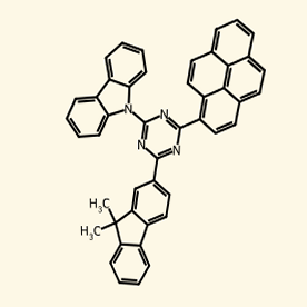 CC1(C)c2ccccc2-c2ccc(-c3nc(-c4ccc5ccc6cccc7ccc4c5c67)nc(-n4c5ccccc5c5ccccc54)n3)cc21